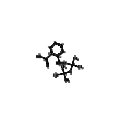 CC(C)(C)OC(C)(C)C.O=C(O)c1ccccc1O